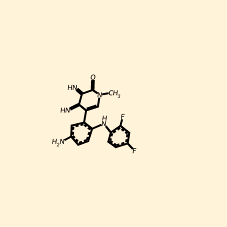 CN1C=C(c2cc(N)ccc2Nc2ccc(F)cc2F)C(=N)C(=N)C1=O